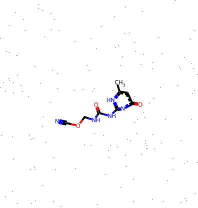 Cc1cc(=O)nc(NC(=O)NCOC#N)[nH]1